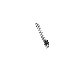 CCCCCCCCCCCCCCCCCC(=O)OC(=O)CCC